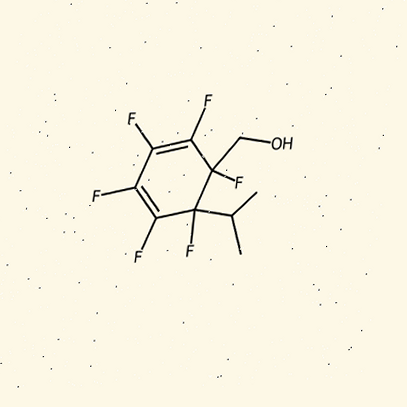 CC(C)C1(F)C(F)=C(F)C(F)=C(F)C1(F)CO